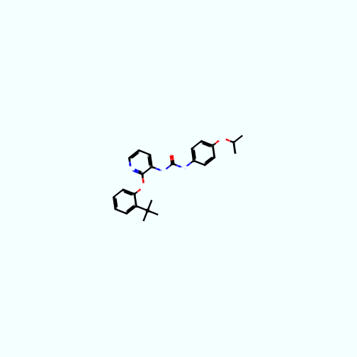 CC(C)Oc1ccc(NC(=O)Nc2cccnc2Oc2ccccc2C(C)(C)C)cc1